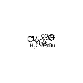 C=C(c1ccccc1)C(C)(C)[C@@H](C(=O)OCC)N(c1ccccc1)[S+]([O-])C(C)(C)C